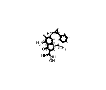 CCn1cc(C(=N)NO)c(=O)c2c(N)c(F)c(NC3CC3c3ccccc3)cc21